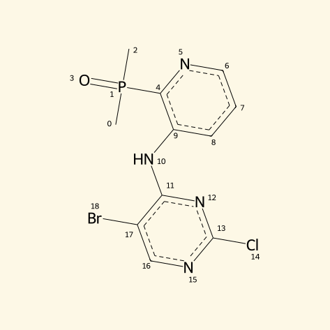 CP(C)(=O)c1ncccc1Nc1nc(Cl)ncc1Br